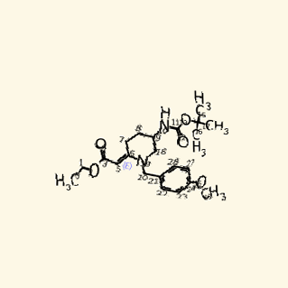 CCOC(=O)/C=C1\CCC(NC(=O)OC(C)(C)C)CN1Cc1ccc(OC)cc1